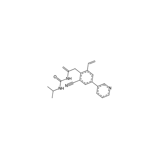 C=Cc1cc(-c2cccnc2)cc(C#N)c1CC(=C)NC(=O)NC(C)C